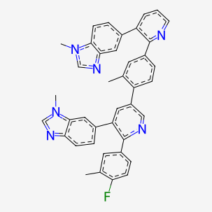 Cc1cc(-c2ncc(-c3ccc(-c4ncccc4-c4ccc5c(c4)ncn5C)cc3C)cc2-c2ccc3ncn(C)c3c2)ccc1F